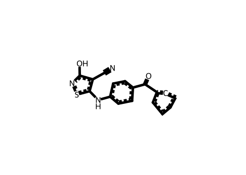 N#Cc1c(O)nsc1Nc1ccc(C(=O)c2ccccc2)cc1